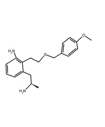 COc1ccc(COCCc2c(N)cccc2C[C@@H](C)N)cc1